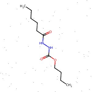 CCCCCC(=O)NNC(=O)OCCCC